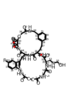 C[C@@H]1NC(=O)CCC(=O)Nn2cc(c3cc(F)ccc32)C[C@@H]2NC(=O)[C@H](CCc3cccc(c3)CNC(=O)CO[C@H]3CCN(C2=O)[C@@H]3C=O)NC(=O)[C@@H](CNCO)NC1=O